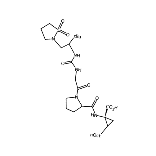 CCCCCCCCC1C[C@]1(NC(=O)C1CCCN1C(=O)CNC(=O)NC(CN1CCCS1(=O)=O)C(C)(C)C)C(=O)O